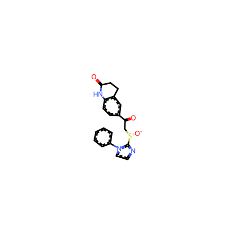 O=C1CCc2cc(C(=O)C[S+]([O-])c3nccn3-c3ccccc3)ccc2N1